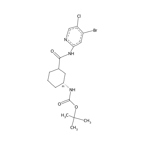 CC(C)(C)OC(=O)N[C@@H]1CCCC(C(=O)Nc2cc(Br)c(Cl)cn2)C1